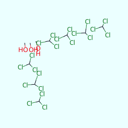 CO.CO.CO.ClC(Cl)Cl.ClC(Cl)Cl.ClC(Cl)Cl.ClC(Cl)Cl.ClC(Cl)Cl.ClC(Cl)Cl.ClC(Cl)Cl